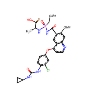 COCP(=O)(NC(=O)c1cc2c(Oc3ccc(NC(=O)NC4CC4)c(Cl)c3)ccnc2cc1OC)N[C@@H](C)C(O)=S